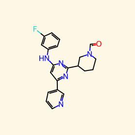 O=CN1CCCC(c2nc(Nc3cccc(F)c3)cc(-c3cccnc3)n2)C1